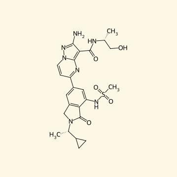 C[C@H](CO)NC(=O)c1c(N)nn2ccc(-c3cc4c(c(NS(C)(=O)=O)c3)C(=O)N([C@@H](C)C3CC3)C4)nc12